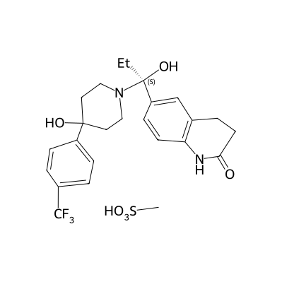 CC[C@](O)(c1ccc2c(c1)CCC(=O)N2)N1CCC(O)(c2ccc(C(F)(F)F)cc2)CC1.CS(=O)(=O)O